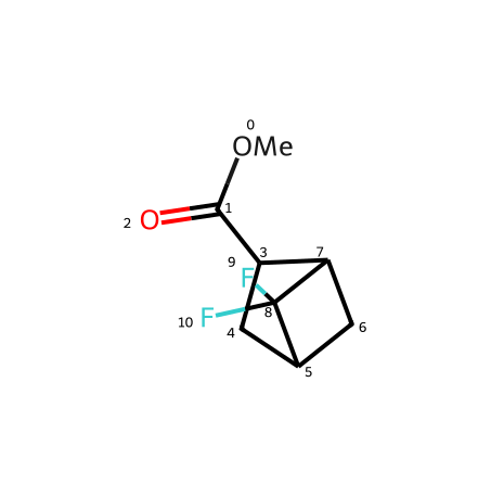 COC(=O)C1CC2CC1C2(F)F